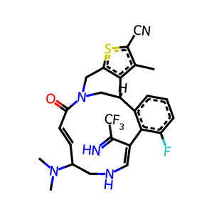 Cc1c(C#N)sc2c1[C@H]1CN(C2)C(=O)/C=C/C(N(C)C)CN/C=C(\C(=N)C(F)(F)F)c2c(F)cccc21